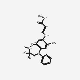 CCCCC1(CC)CN(c2ccccc2)c2cc(SC)c(O/C=C/C(=O)OC(C)(C)C)cc2SN1C